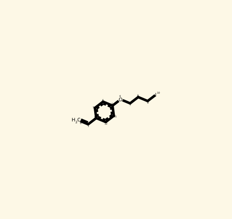 C=Cc1ccc(OCCCI)cc1